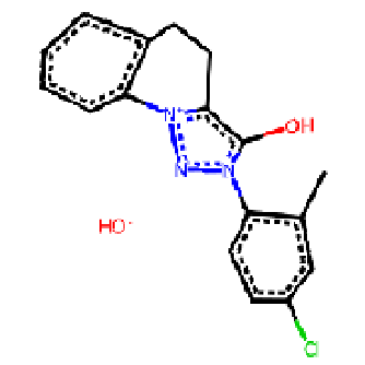 Cc1cc(Cl)ccc1-n1n[n+]2c(c1O)CCc1ccccc1-2.[OH-]